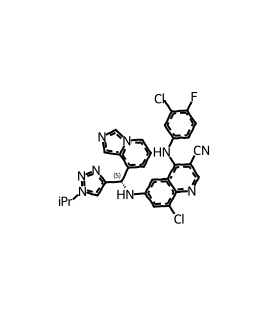 CC(C)n1cc([C@@H](Nc2cc(Cl)c3ncc(C#N)c(Nc4ccc(F)c(Cl)c4)c3c2)c2cccn3cncc23)nn1